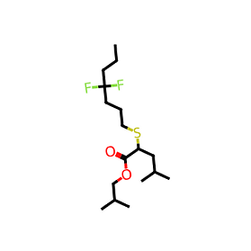 CCCC(F)(F)CCCSC(CC(C)C)C(=O)OCC(C)C